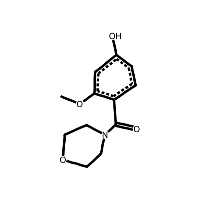 COc1cc(O)ccc1C(=O)N1CCOCC1